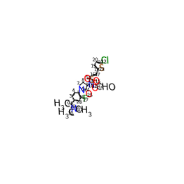 CC(c1ccc(N2CCC(N(OC=O)S(=O)(=O)/C=C/c3ccc(Cl)s3)C2=O)c(F)c1)N(C)C